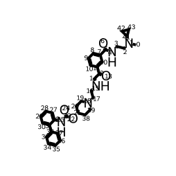 CN(CCNC(=O)c1cccc(C(=O)CNCCN2CCC(OC(=O)Nc3ccccc3-c3ccccc3)CC2)c1)C1CC1